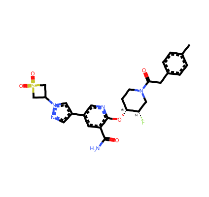 Cc1ccc(CC(=O)N2CC[C@@H](Oc3ncc(-c4cnn(C5CS(=O)(=O)C5)c4)cc3C(N)=O)[C@@H](F)C2)cc1